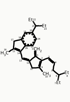 C=C1C(/C=C\CC(CC)CC)=C(C)C/C1=C/C1=C(C)Cc2cc(C(CC)CC)ccc21